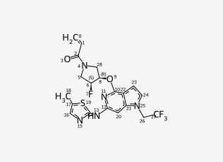 C=CC(=O)N1C[C@H](F)[C@H](Oc2nc(Nc3ncc(C)s3)cc3c2ccn3CC(F)(F)F)C1